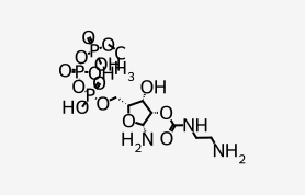 COP(=O)(O)OP(=O)(O)OP(=O)(O)OC[C@H]1O[C@@H](N)[C@@H](OC(=O)NCCN)[C@H]1O